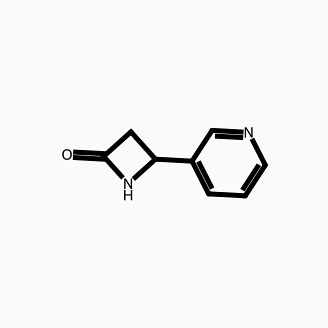 O=C1CC(c2cccnc2)N1